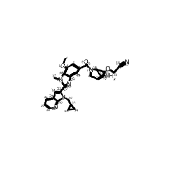 COc1cc(C(=O)N2CC3C[C@H](OCC#N)C2C3N)cc2nc(-c3cc4cccnc4n3CC3CC3)n(C)c12